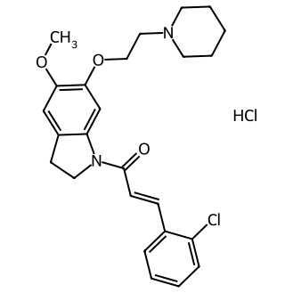 COc1cc2c(cc1OCCN1CCCCC1)N(C(=O)C=Cc1ccccc1Cl)CC2.Cl